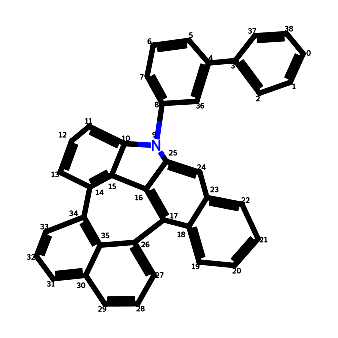 c1ccc(-c2cccc(-n3c4cccc5c4c4c(c6ccccc6cc43)-c3cccc4cccc-5c34)c2)cc1